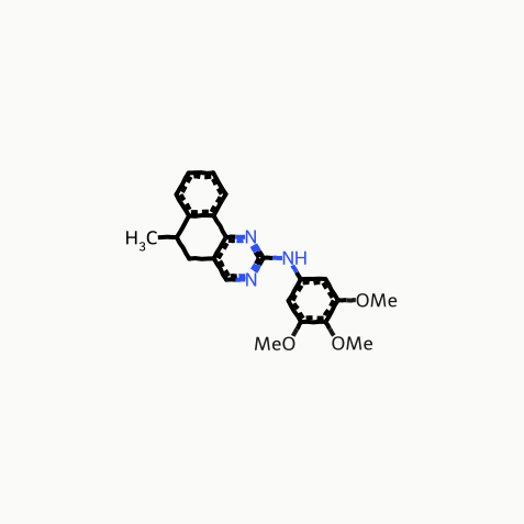 COc1cc(Nc2ncc3c(n2)-c2ccccc2C(C)C3)cc(OC)c1OC